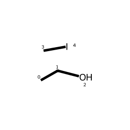 CCO.CI